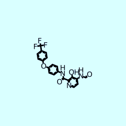 O=CNc1ccnc(C(=O)Nc2ccc(Oc3ccc(C(F)(F)F)cc3)cc2)c1O